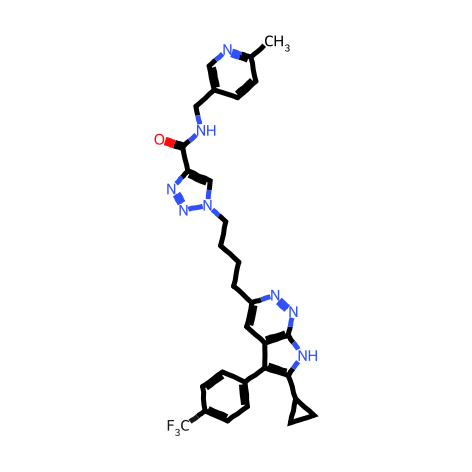 Cc1ccc(CNC(=O)c2cn(CCCCc3cc4c(-c5ccc(C(F)(F)F)cc5)c(C5CC5)[nH]c4nn3)nn2)cn1